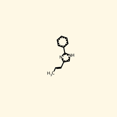 CC=Cc1c[nH]c(-c2ccccc2)n1